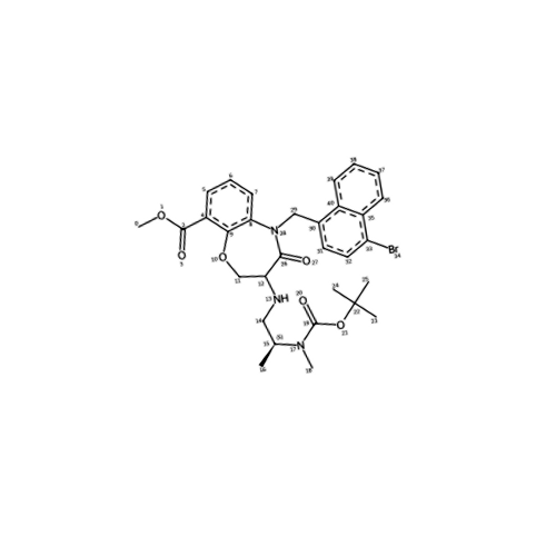 COC(=O)c1cccc2c1OCC(NC[C@H](C)N(C)C(=O)OC(C)(C)C)C(=O)N2Cc1ccc(Br)c2ccccc12